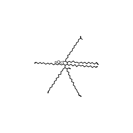 C=CCCCCCCCCCCCCCCC(C=C)C(CCCCCCCCCCCCCCC=C)C(CCCCCCCCCCCCCCC=C)C(CCCCCCCCCCCCCCC=C)C(CCCCCCCCCCCCCCC=C)C(CCCCCCCC)CCCCCCCCCCCCCC(=C)C